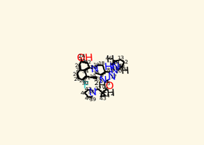 [2H]C([2H])(Oc1nc2c(c(N3C[C@H]4CC[C@@H](C3)N4)n1)CCN(c1cc(O)cc3ccc(F)c(C#C)c13)C2)C1(CN2CCCC2)CC1